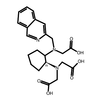 O=C(O)CN(Cc1cc2ccccc2cn1)C1CCCC[C@@H]1N(CC(=O)O)CC(=O)O